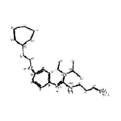 CCN(/C(=N\c1ccc(OCCC2CCCCC2)cc1)NCCCN)C(C)C